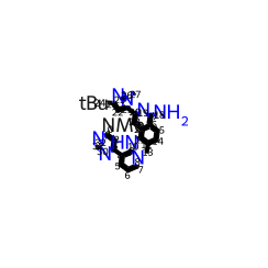 CNc1cc(-c2cccnc2Nc2c(C)ccc3c(N)nc(-c4cc(C(C)(C)C)nn4C)cc23)ncn1